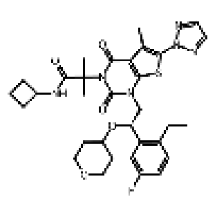 CCc1ccc(F)cc1[C@H](Cn1c(=O)n(C(C)(C)C(=O)NC2CCC2)c(=O)c2c(C)c(-n3nccn3)sc21)OC1CCOCC1